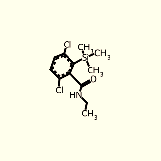 CCNC(=O)c1c(Cl)ccc(Cl)c1[Si](C)(C)C